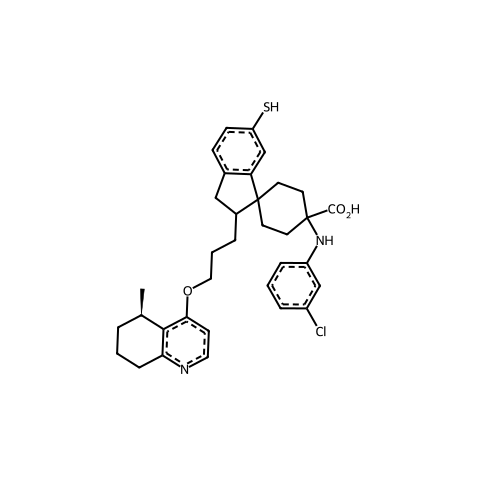 C[C@@H]1CCCc2nccc(OCCCC3Cc4ccc(S)cc4C34CCC(Nc3cccc(Cl)c3)(C(=O)O)CC4)c21